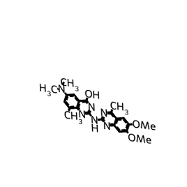 COc1cc2nc(Nc3nc(O)c4cc(N(C)C)cc(C)c4n3)nc(C)c2cc1OC